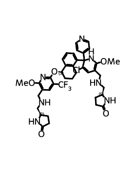 COC1=C(CNC[C@@H]2CCC(=O)N2)C=C(Cl)C(c2ccncc2)(c2cccc3c2CCC[C@@H]3Oc2nc(OC)c(CNC[C@H]3CCC(=O)N3)cc2C(F)(F)F)N1